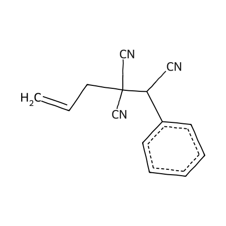 C=CCC(C#N)(C#N)C(C#N)c1ccccc1